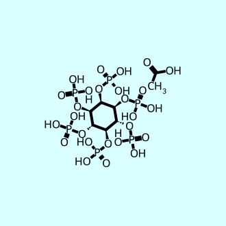 CC(=O)O.O=P(O)(O)O[C@H]1[C@H](OP(=O)(O)O)[C@@H](OP(=O)(O)O)[C@H](OP(=O)(O)O)[C@@H](OP(=O)(O)O)[C@H]1OP(=O)(O)O